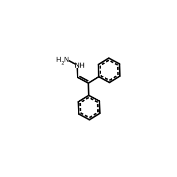 NNC=C(c1ccccc1)c1ccccc1